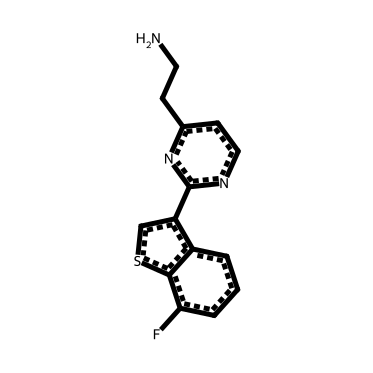 NCCc1ccnc(-c2csc3c(F)cccc23)n1